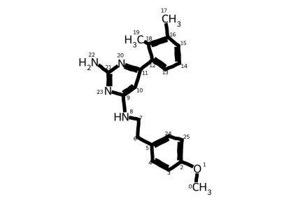 COc1ccc(CCNc2cc(-c3cccc(C)c3C)nc(N)n2)cc1